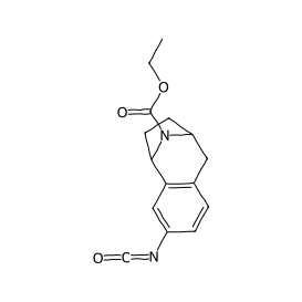 CCOC(=O)N1C2CCC1c1cc(N=C=O)ccc1C2